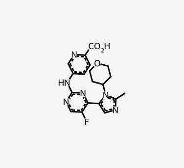 Cc1ncc(-c2nc(Nc3ccc(C(=O)O)nc3)ncc2F)n1C1CCOCC1